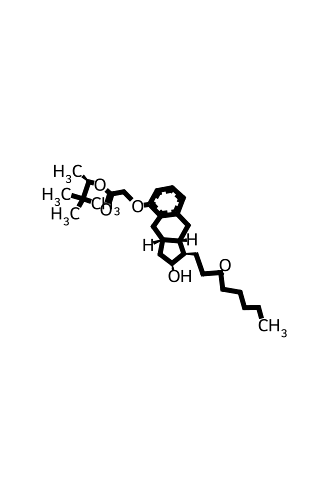 CCCCCC(=O)CC[C@@H]1[C@H]2Cc3cccc(OCC(=O)O[C@H](C)C(C)(C)C)c3C[C@H]2C[C@H]1O